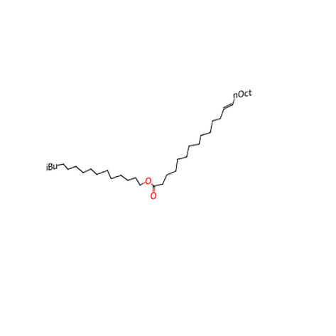 CCCCCCCCC=CCCCCCCCCCCCC(=O)OCCCCCCCCCCCCC(C)CC